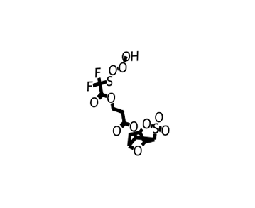 O=C(CCOC(=O)C(F)(F)SOOO)OC1C2CC3OS(=O)(=O)C1C3O2